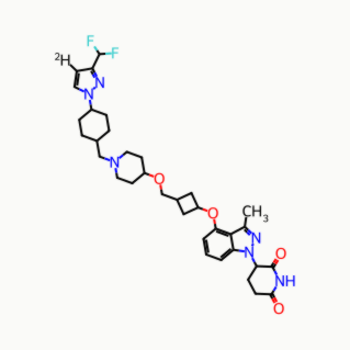 [2H]c1cn(C2CCC(CN3CCC(OCC4CC(Oc5cccc6c5c(C)nn6C5CCC(=O)NC5=O)C4)CC3)CC2)nc1C(F)F